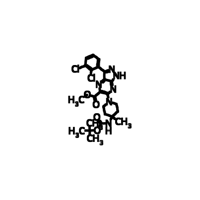 COC(=O)c1nc2c(-c3cccc(Cl)c3Cl)n[nH]c2nc1N1CCC(C)(NC(=O)OC(C)(C)C)CC1